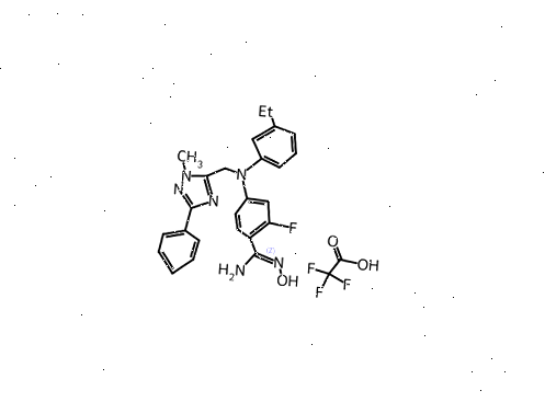 CCc1cccc(N(Cc2nc(-c3ccccc3)nn2C)c2ccc(/C(N)=N/O)c(F)c2)c1.O=C(O)C(F)(F)F